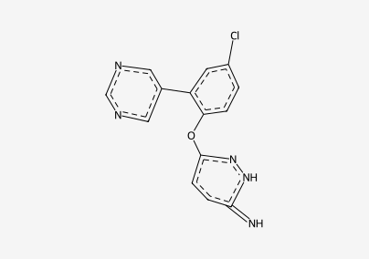 N=c1ccc(Oc2ccc(Cl)cc2-c2cncnc2)n[nH]1